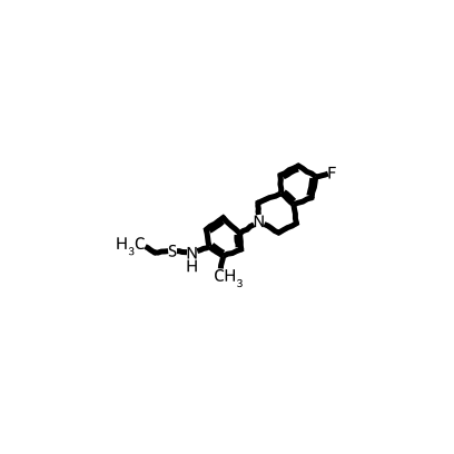 CCSNc1ccc(N2CCc3cc(F)ccc3C2)cc1C